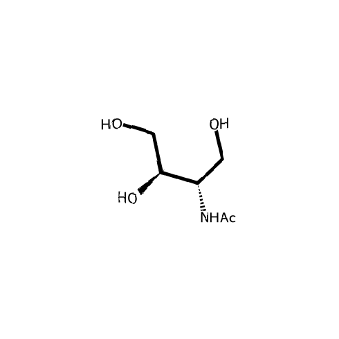 CC(=O)N[C@@H](CO)[C@@H](O)CO